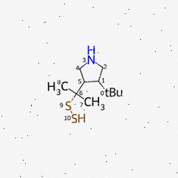 CC(C)(C)C1CNCC1C(C)(C)SS